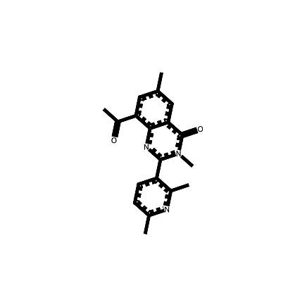 CC(=O)c1cc(C)cc2c(=O)n(C)c(-c3ccc(C)nc3C)nc12